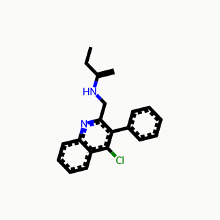 C=C(CC)NCc1nc2ccccc2c(Cl)c1-c1ccccc1